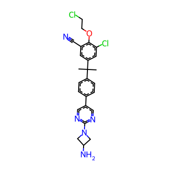 CC(C)(c1ccc(-c2cnc(N3CC(N)C3)nc2)cc1)c1cc(Cl)c(OCCCl)c(C#N)c1